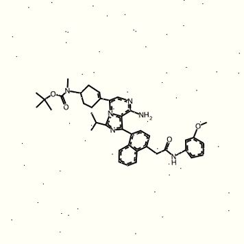 COc1cccc(NC(=O)Cc2ccc(-c3nc(C(C)C)n4c(C5=CCC(N(C)C(=O)OC(C)(C)C)CC5)cnc(N)c34)c3ccccc23)c1